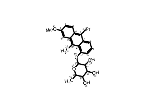 COc1ccc2c(C(C)C)c3cccc(OC4OC(C)C(O)C(O)C4O)c3c(C)c2c1